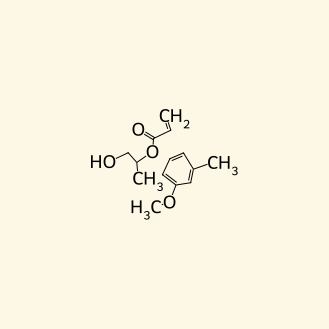 C=CC(=O)OC(C)CO.COc1cccc(C)c1